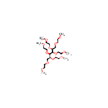 COCCOCC(OCCOC)C(OCCOC)C(OCCOC)C(COCCOC)OCCOC